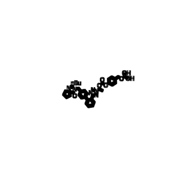 CCCCC1=NC2(CCCC2)C(=O)N1Cc1ccc(-c2ccccc2-c2nnn(C(C)OC(=O)Oc3ccc(CON(O)O)cc3)n2)cc1